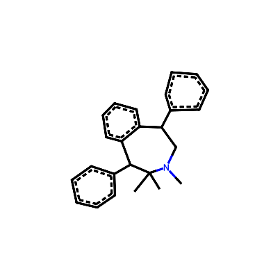 CN1CC(c2ccccc2)c2ccccc2C(c2ccccc2)C1(C)C